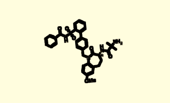 COc1ccc2c(c1)CC[C@@H](NC(=O)C(C)(C)N)C(=O)N2Cc1ccc(-c2ccccc2S(=O)(=O)NC(=O)c2ccccc2)cc1